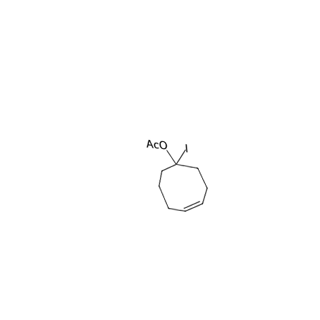 CC(=O)OC1(I)CCC=CCCC1